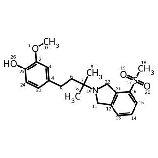 COc1cc(CCC(C)(C)N2Cc3cccc(S(C)(=O)=O)c3C2)ccc1O